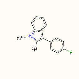 [2H]c1c(-c2ccc(F)cc2)c2ccccc2n1CCC